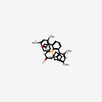 COc1cc(OC)c(-c2cccc(-c3c(OC)cc(OC)cc3OC)c2P2C3(CCCCC3)CC(=O)CC23CCCCC3)c(OC)c1